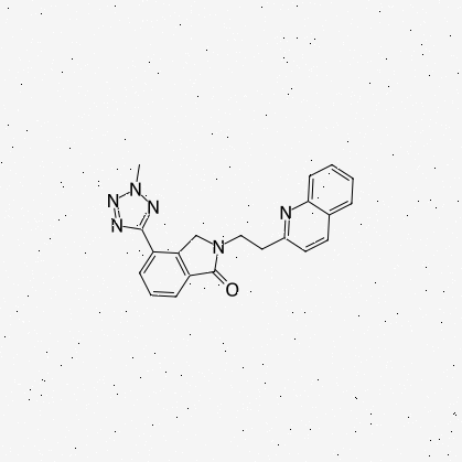 Cn1nnc(-c2cccc3c2CN(CCc2ccc4ccccc4n2)C3=O)n1